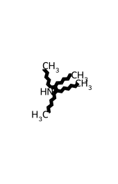 CCCCCCc1[nH]c(CCCCCC)c(CCCCCC)c1CCCCCC